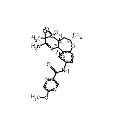 COc1cnc(C(=O)Nc2ccc3c(c2)[C@@]2(C)N=C(N)C(C)(C)S(=O)(=O)[C@@H]2C[C@H](C)O3)cn1